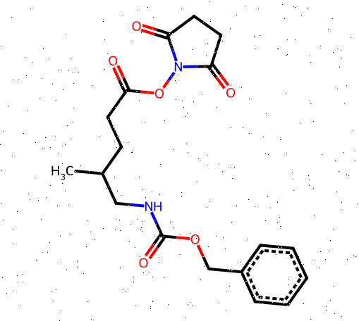 CC(CCC(=O)ON1C(=O)CCC1=O)CNC(=O)OCc1ccccc1